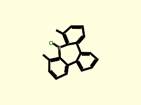 Cc1cccc2c1B(Cl)c1c(C)cccc1-c1ccccc1-2